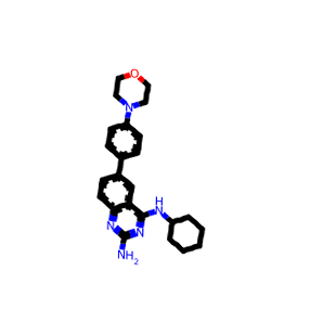 Nc1nc(NC2CCCCC2)c2cc(-c3ccc(N4CCOCC4)cc3)ccc2n1